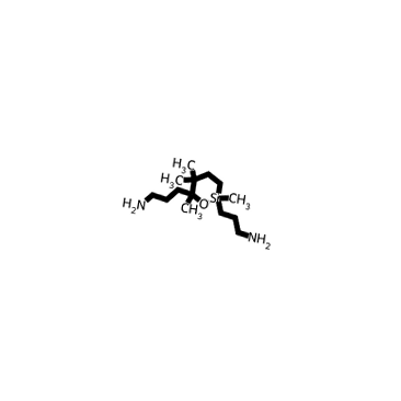 CC1(C)CC[Si](C)(CCCN)OC1(C)CCCN